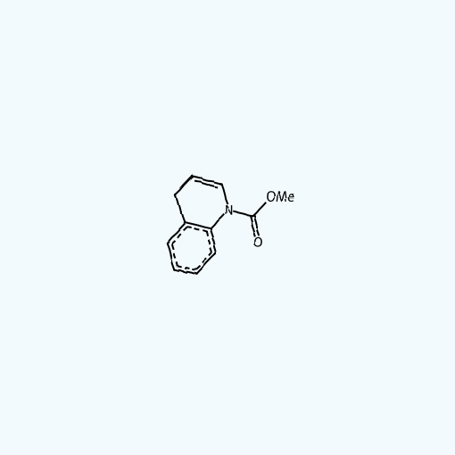 COC(=O)N1C=CCc2ccccc21